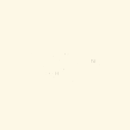 Nc1cccc(OC(=O)c2ccccc2C(=O)O)c1